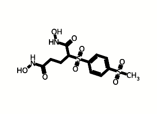 CS(=O)(=O)c1ccc(S(=O)(=O)C(CCC(=O)NO)C(=O)NO)cc1